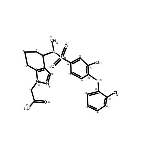 CN(C1CCCc2c1cnn2CC(=O)O)S(=O)(=O)c1ccc(Oc2ccccc2Cl)c(Cl)c1